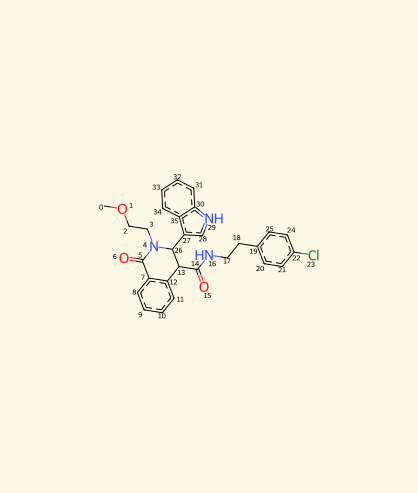 COCCN1C(=O)c2ccccc2C(C(=O)NCCc2ccc(Cl)cc2)C1c1c[nH]c2ccccc12